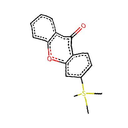 CS(C)(C)c1ccc2c(=O)c3ccccc3oc2c1